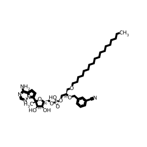 CCCCCCCCCCCCCCCCCCOC[C@H](COP(=O)(O)OC[C@H]1O[C@@](C)(c2ccc3c(N)ncnn23)[C@H](O)[C@@H]1O)OCc1cccc(C#N)c1